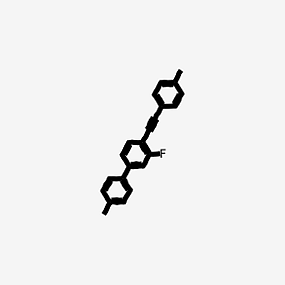 Cc1ccc(C#Cc2ccc(-c3ccc(C)cc3)cc2F)cc1